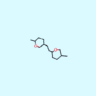 CC1CCC(CCC2CCC(C)OC2)OC1